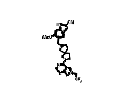 COc1cc2[nH]c(C#N)cc2cc1CN1CCC2(CCN(c3ncnc4nn(CC(F)(F)F)cc34)C2)C1